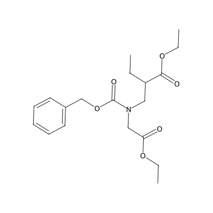 CCOC(=O)CN(CC(CC)C(=O)OCC)C(=O)OCc1ccccc1